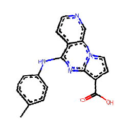 Cc1ccc(Nc2nc3c(C(=O)O)ccn3c3cnccc23)cc1